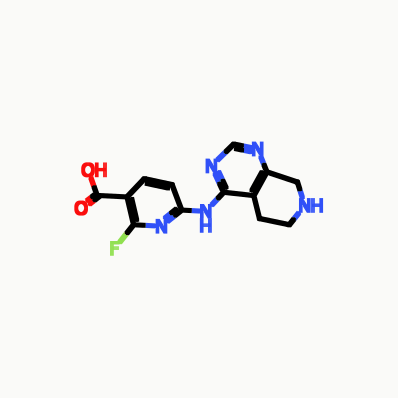 O=C(O)c1ccc(Nc2ncnc3c2CCNC3)nc1F